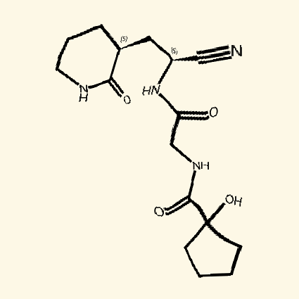 N#C[C@H](C[C@@H]1CCCNC1=O)NC(=O)CNC(=O)C1(O)CCCC1